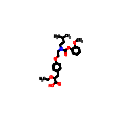 CCOC(Cc1ccc(OCCN(CCC(C)C)C(=O)Oc2ccccc2OC)cc1)C(=O)O